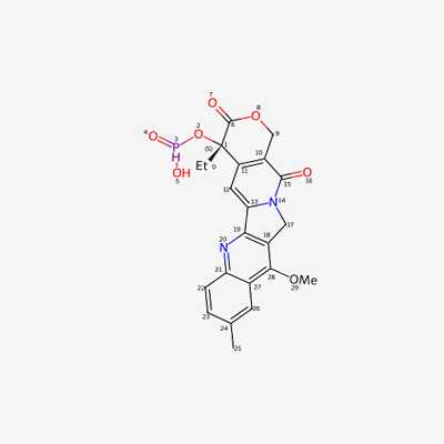 CC[C@@]1(O[PH](=O)O)C(=O)OCc2c1cc1n(c2=O)Cc2c-1nc1ccc(C)cc1c2OC